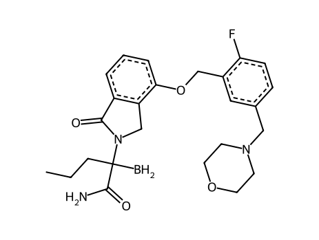 BC(CCC)(C(N)=O)N1Cc2c(OCc3cc(CN4CCOCC4)ccc3F)cccc2C1=O